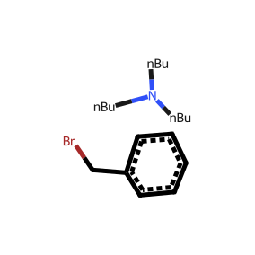 BrCc1ccccc1.CCCCN(CCCC)CCCC